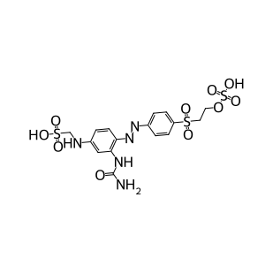 NC(=O)Nc1cc(NCS(=O)(=O)O)ccc1/N=N/c1ccc(S(=O)(=O)CCOS(=O)(=O)O)cc1